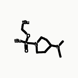 CN(C)C1CCN(P(=O)(OCC(C)(C)C)C(C)(C)C)CC1